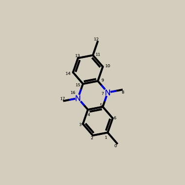 Cc1ccc2c(c1)N(C)c1cc(C)ccc1N2C